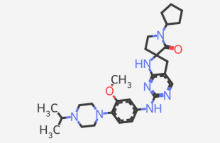 COc1cc(Nc2ncc3c(n2)NC2(CCN(C4CCCC4)C2=O)C3)ccc1N1CCN(C(C)C)CC1